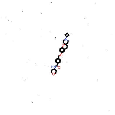 O=C(NC1CCOCC1)c1ccc(COc2ccc3c(c2)CCC2(CCN(C4CCC4)CC2)O3)cc1